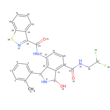 Cc1ccccc1C1NC(O)c2c(C(=O)NCC(F)F)ccc(NC(=O)c3nsc4ccccc34)c21